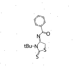 CC(C)(C)N1C(=S)SCC1=NC(=O)c1ccccc1